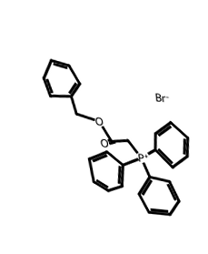 O=C(C[P+](c1ccccc1)(c1ccccc1)c1ccccc1)OCc1ccccc1.[Br-]